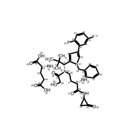 CC(C)(C)[C@H](c1cc(-c2cc(F)ccc2F)cn1Cc1ccccc1)N(CC[C@H](N)C(=O)NC1CC1=O)C(=O)CO.N[C@H](CCC(=O)O)C(=O)O